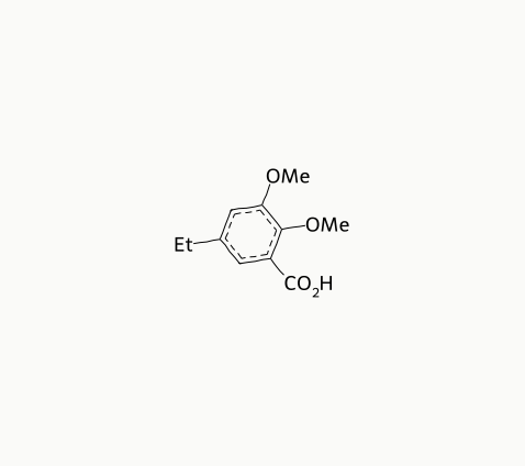 CCc1cc(OC)c(OC)c(C(=O)O)c1